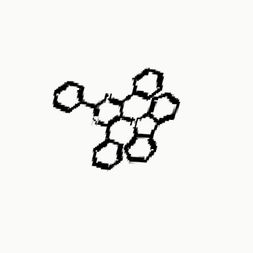 c1ccc(-c2nc(-c3ccccc3)c(-n3c4ccccc4c4ccccc43)c(-c3ccccc3)n2)cc1